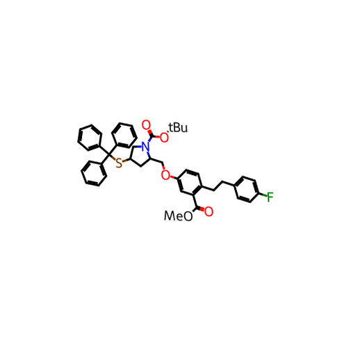 COC(=O)c1cc(OCC2CC(SC(c3ccccc3)(c3ccccc3)c3ccccc3)CN2C(=O)OC(C)(C)C)ccc1CCc1ccc(F)cc1